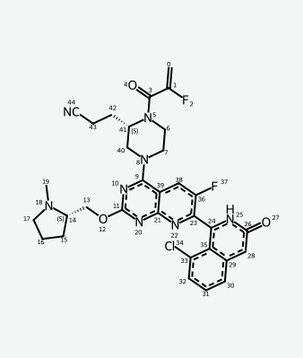 C=C(F)C(=O)N1CCN(c2nc(OC[C@@H]3CCCN3C)nc3nc(-c4[nH]c(=O)cc5cccc(Cl)c45)c(F)cc23)C[C@@H]1CCC#N